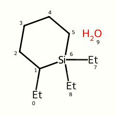 CCC1CCCC[Si]1(CC)CC.O